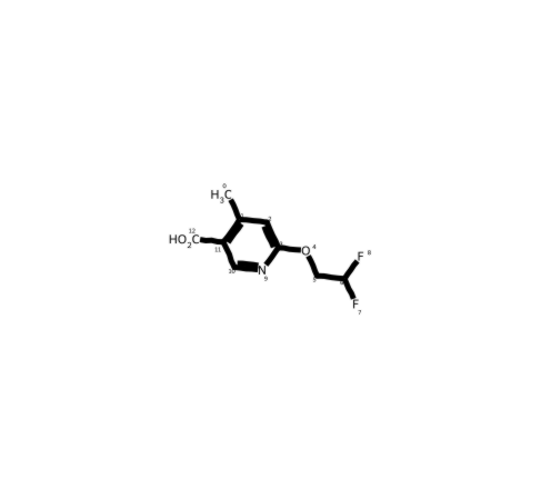 Cc1cc(OCC(F)F)ncc1C(=O)O